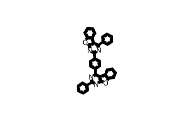 c1ccc(-c2nc(-c3ccc(-c4nc(-c5ccccc5)c5c(n4)oc4ccccc45)cc3)c3c(n2)oc2ccccc23)cc1